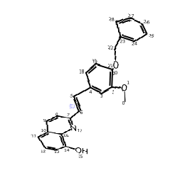 COc1cc(/C=C/c2ccc3cccc(O)c3n2)ccc1OCc1ccccc1